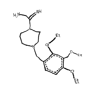 CCOc1ccc(CN2CCN(C(=N)N)CC2)c(OCC)c1OCC